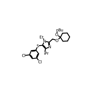 CCCCOC1(OCc2nc(C(C)C)c(Sc3cc(Cl)cc(Cl)c3)n2CC)CCCCC1